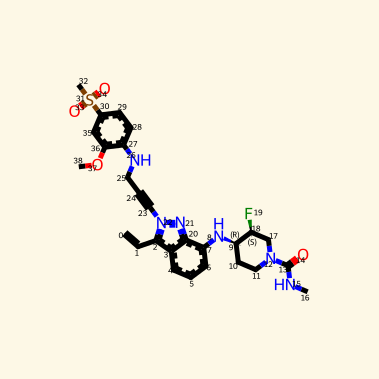 C=Cc1c2cccc(N[C@@H]3CCN(C(=O)NC)C[C@@H]3F)c2nn1C#CCNc1ccc(S(C)(=O)=O)cc1OC